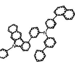 c1ccc(-c2cccc(N(c3ccc(-c4cccc5ccccc45)cc3)c3cccc(-c4cccc5c4c4cc6ccccc6cc4n5-c4ccccc4)c3)c2)cc1